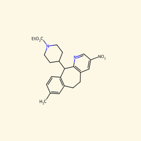 CCOC(=O)N1CCC(C2c3ccc(C)cc3CCc3cc([N+](=O)[O-])cnc32)CC1